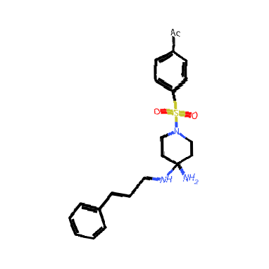 CC(=O)c1ccc(S(=O)(=O)N2CCC(N)(NCCCc3ccccc3)CC2)cc1